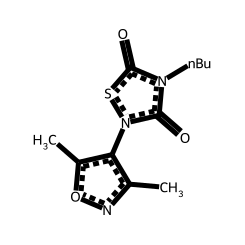 CCCCn1c(=O)sn(-c2c(C)noc2C)c1=O